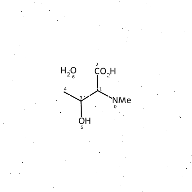 CNC(C(=O)O)C(C)O.O